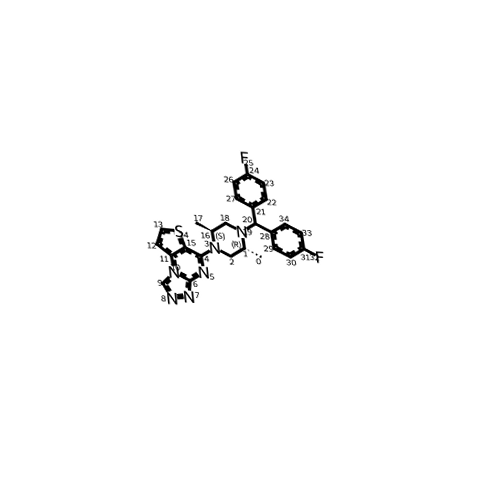 C[C@@H]1CN(c2nc3nncn3c3ccsc23)[C@@H](C)CN1C(c1ccc(F)cc1)c1ccc(F)cc1